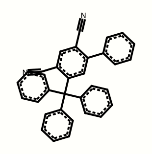 N#Cc1cc(C#N)c(C(c2ccccc2)(c2ccccc2)c2ccccc2)cc1-c1ccccc1